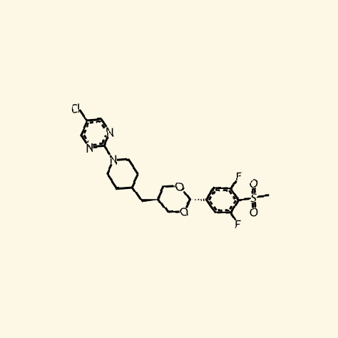 CS(=O)(=O)c1c(F)cc([C@H]2OC[C@H](CC3CCN(c4ncc(Cl)cn4)CC3)CO2)cc1F